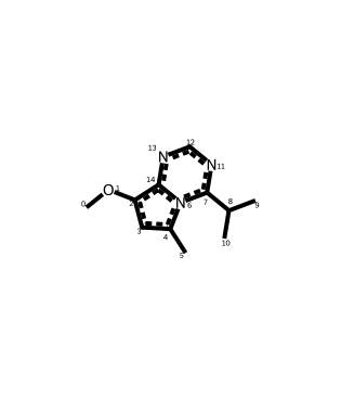 COc1cc(C)n2c(C(C)C)ncnc12